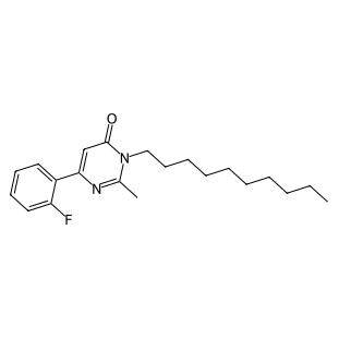 CCCCCCCCCCn1c(C)nc(-c2ccccc2F)cc1=O